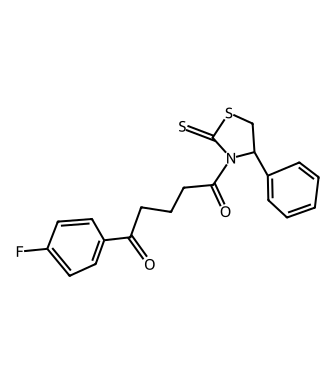 O=C(CCCC(=O)N1C(=S)SCC1c1ccccc1)c1ccc(F)cc1